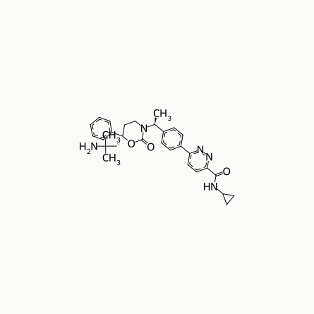 C[C@@H](c1ccc(-c2ccc(C(=O)NC3CC3)nn2)cc1)N1CC[C@](CC(C)(C)N)(c2ccccc2)OC1=O